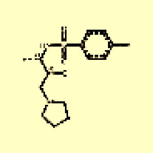 Cc1ccc(S(=O)(=O)N[C@@H](C)[C@@H](O)CN2CCCC2)cc1